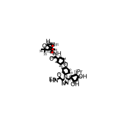 CCNC(=O)c1nnc(-c2cc(C(C)C)c(O)cc2O)n1-c1ccc(Oc2ccc(C(=O)NCC[C@H]3C4C(C)(C)O[C@H]3C[C@H](C)C4(C)C)cc2)cc1